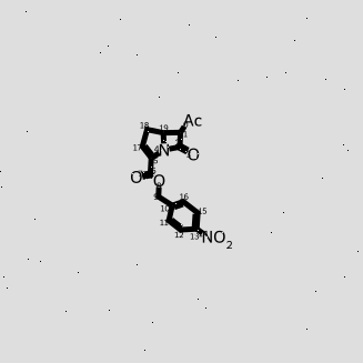 CC(=O)C1C(=O)N2C(C(=O)OCc3ccc([N+](=O)[O-])cc3)=CCC12